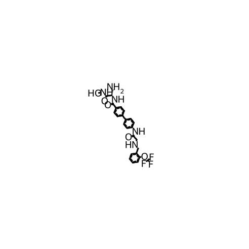 NC[C@H](NC(=O)c1ccc(-c2ccc(NC(=O)CNCc3ccccc3OC(F)(F)F)cc2)cc1)C(=O)NO